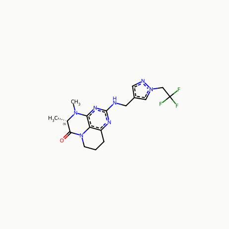 C[C@H]1C(=O)N2CCCc3nc(NCc4cnn(CC(F)(F)F)c4)nc(c32)N1C